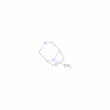 C[N+]1([O-])C2CCC1C[N]C2